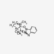 C[As](C)[PH](On1nnc2ccccc21)([As](C)C)[As](C)C